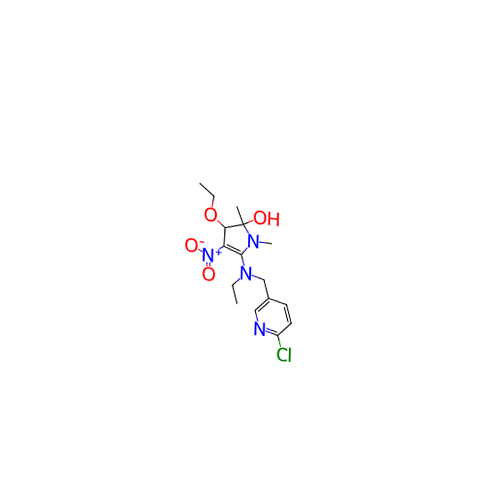 CCOC1C([N+](=O)[O-])=C(N(CC)Cc2ccc(Cl)nc2)N(C)C1(C)O